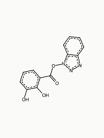 O=C(On1nnc2ccccc21)c1cccc(O)c1O